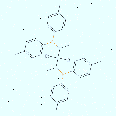 CCC(CC)(C(C)P(c1ccc(C)cc1)c1ccc(C)cc1)C(C)P(c1ccc(C)cc1)c1ccc(C)cc1